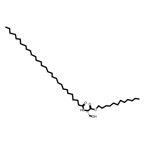 CCCCCCCCCCCCCCCCCCCCCCCCCCCCCC(=O)N[C@@H](CO)C(=O)OCCCCCCCCCCCC